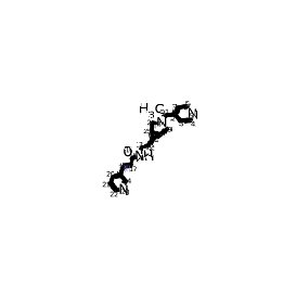 CC(c1ccncc1)N1CC2C(CCNC(=O)/C=C/c3cccnc3)C2C1